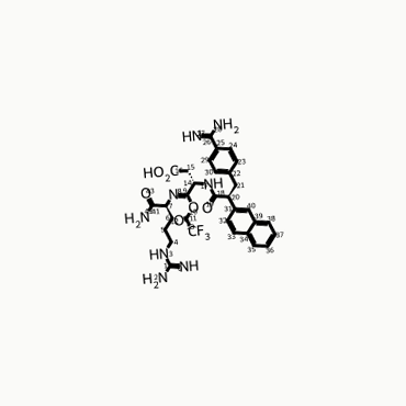 N=C(N)NCCC[C@H](N=C(OC(=O)C(F)(F)F)[C@H](CC(=O)O)NC(=O)[C@@H](Cc1ccc(C(=N)N)cc1)c1ccc2ccccc2c1)C(N)=O